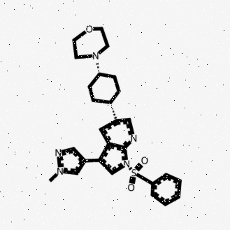 Cn1cc(-c2cn(S(=O)(=O)c3ccccc3)c3ncc([C@H]4CC[C@@H](N5CCOCC5)CC4)cc23)cn1